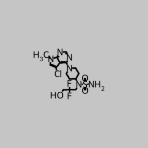 Cn1cc(Cl)c2c(N3CCC(N(CC(F)(F)CO)S(N)(=O)=O)CC3)ncnc21